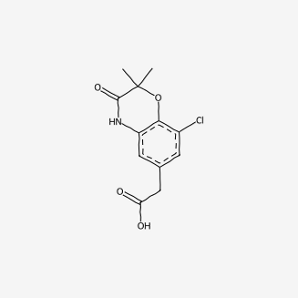 CC1(C)Oc2c(Cl)cc(CC(=O)O)cc2NC1=O